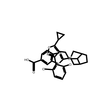 O=C(O)c1ccc2nc(N3CC4CCC(C3)C4OCc3c(-c4c(Cl)cccc4Cl)noc3C3CC3)sc2c1